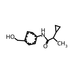 CC(C(=O)Nc1ccc(CO)cc1)C1CC1